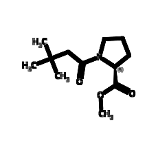 COC(=O)[C@@H]1CCCN1C(=O)CC(C)(C)C